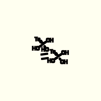 CC.CC.OP(O)(O)=[Te].OP(O)(O)=[Te]